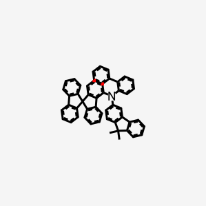 CC1(C)c2ccccc2-c2cc(N(c3ccccc3-c3ccccc3)c3cccc4c3-c3ccccc3C43c4ccccc4-c4ccccc43)ccc21